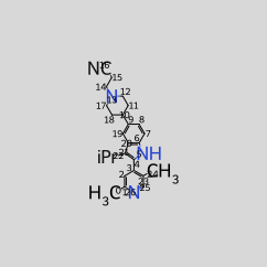 Cc1cc(-c2[nH]c3ccc(C4CCN(CCC#N)CC4)cc3c2C(C)C)c(C)cn1